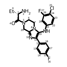 CC[C@H](N)C(=O)N1CCn2c(nc(-c3ccc(F)cc3)c2Nc2ccc(Cl)c(F)c2)C1